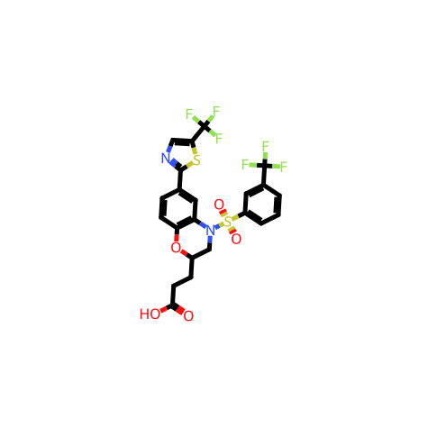 O=C(O)CCC1CN(S(=O)(=O)c2cccc(C(F)(F)F)c2)c2cc(-c3ncc(C(F)(F)F)s3)ccc2O1